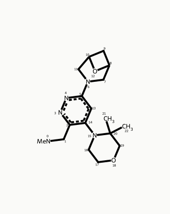 CNCc1nnc(N2CC3CC(C2)O3)cc1N1CCOCC1(C)C